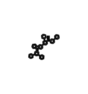 C1=CCCC(c2cc(-c3ccc4c(c3)c3ccccc3n4-c3cc(-c4ccccc4)cc(-c4ccccc4)c3)ccc2Nc2cccc(-c3ccccc3)c2)=C1